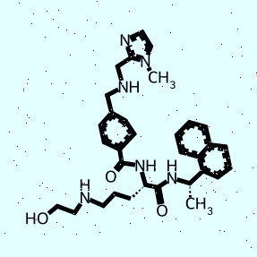 C[C@H](NC(=O)[C@H](CCCNCCO)NC(=O)c1ccc(CNCc2nccn2C)cc1)c1cccc2ccccc12